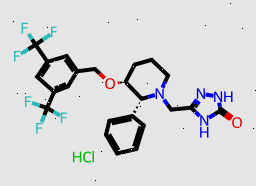 Cl.O=c1[nH]nc(CN2CCC[C@@H](OCc3cc(C(F)(F)F)cc(C(F)(F)F)c3)[C@H]2c2ccccc2)[nH]1